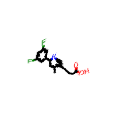 Cc1cc(-c2cc(F)cc(F)c2)ncc1CC(=O)O